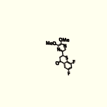 COc1ncc(C2CC(=O)c3cc(F)cc(F)c3S2)nc1OC